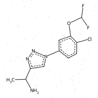 CC(N)c1cn(-c2ccc(Cl)c(OC(F)F)c2)nn1